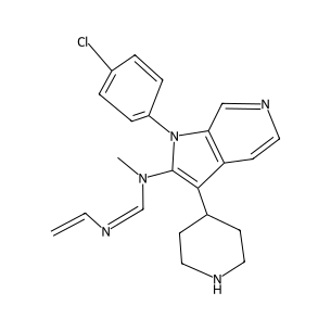 C=C/N=C\N(C)c1c(C2CCNCC2)c2ccncc2n1-c1ccc(Cl)cc1